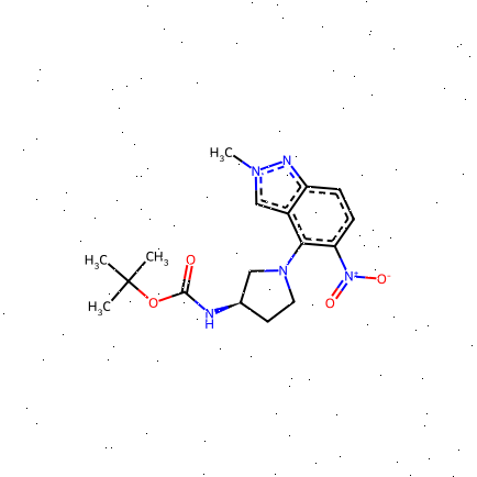 Cn1cc2c(N3CC[C@@H](NC(=O)OC(C)(C)C)C3)c([N+](=O)[O-])ccc2n1